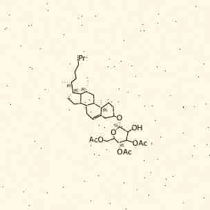 CC(=O)OCC1O[C@H](OC2CC[C@@]3(C)C(=CCC4C5CC[C@H]([C@H](C)CCCC(C)C)C5[C@H](C)CC43)C2)C(O)C(OC(C)=O)[C@@H]1OC(C)=O